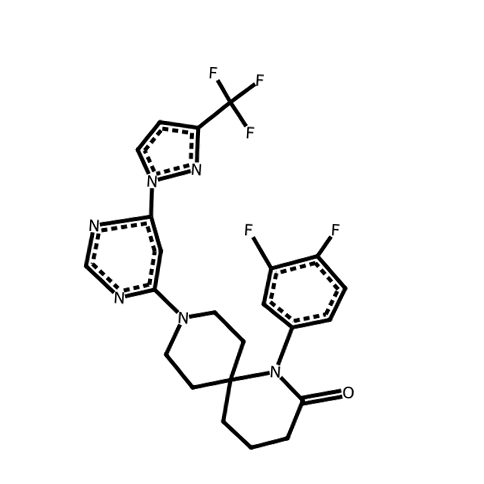 O=C1CCCC2(CCN(c3cc(-n4ccc(C(F)(F)F)n4)ncn3)CC2)N1c1ccc(F)c(F)c1